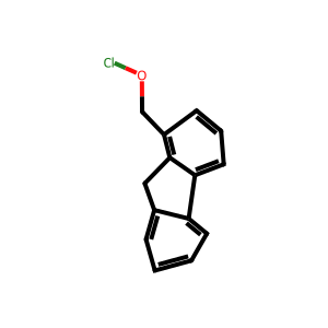 ClOCc1cccc2c1Cc1ccccc1-2